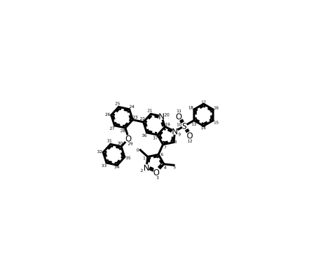 Cc1noc(C)c1-c1cn(S(=O)(=O)c2ccccc2)c2ncc(-c3ccccc3Oc3ccccc3)cc12